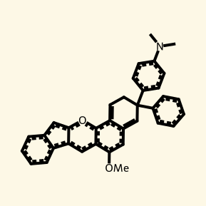 COc1cc2c(c3oc4cc5ccccc5c-4cc13)=CCC(c1ccccc1)(c1ccc(N(C)C)cc1)C=2